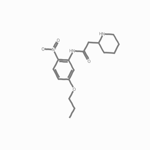 CCCOc1ccc([N+](=O)[O-])c(NC(=O)CC2CCCCN2)c1